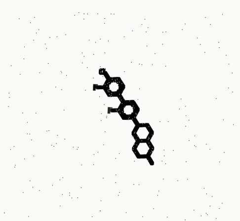 CC1CCC2CC(c3ccc(-c4ccc(Cl)c(F)c4)c(F)c3)CCC2C1